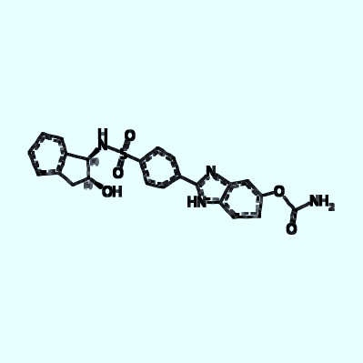 NC(=O)Oc1ccc2[nH]c(-c3ccc(S(=O)(=O)N[C@@H]4c5ccccc5C[C@@H]4O)cc3)nc2c1